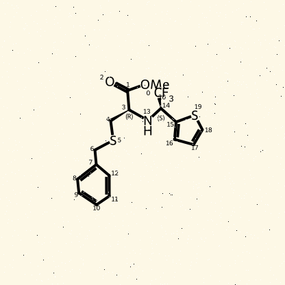 COC(=O)[C@H](CSCc1ccccc1)N[C@H](c1cccs1)C(F)(F)F